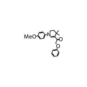 COc1ccc(N2C=C(C(=O)COc3ccccc3)C(C)(C)CC2)cc1